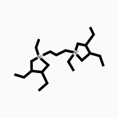 CCC1C[N+](CC)(CCC[N+]2(CC)CC(CC)C(CC)C2)CC1CC